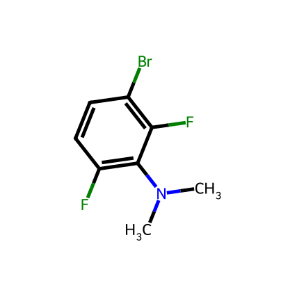 CN(C)c1c(F)ccc(Br)c1F